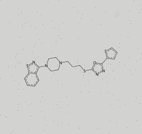 c1csc(-c2nnc(SCCCN3CCN(c4nsc5ccccc45)CC3)o2)c1